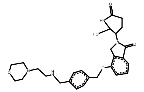 O=C1CCC(N2Cc3c(OCc4ccc(CNCCN5CCOCC5)cc4)cccc3C2=O)C(O)N1